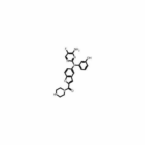 Nc1nc(N(c2cccc(O)c2)c2ccc3oc(C(=O)N4CCNCC4)cc3c2)ncc1F